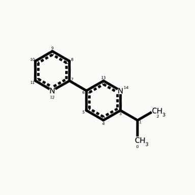 CC(C)c1ccc(-c2ccccn2)[c]n1